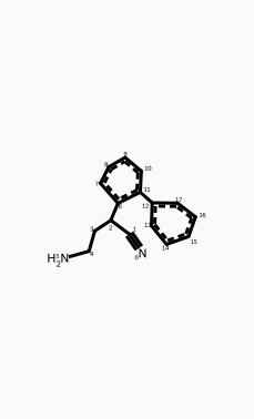 N#CC(CCN)c1ccccc1-c1ccccc1